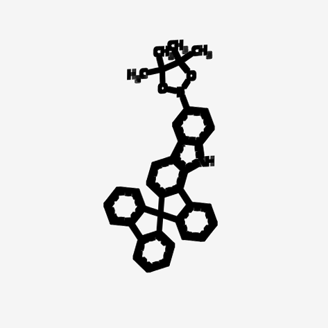 CC1(C)OB(c2ccc3[nH]c4c5c(ccc4c3c2)C2(c3ccccc3-c3ccccc32)c2ccccc2-5)OC1(C)C